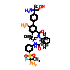 CCC(N)(CO)c1ccc(-c2cc(C(=O)N(C)[C@@H]3[C@H]4CC[C@@H](C4)[C@@H]3C(=O)Nc3cccc(S(=O)(=O)C(C)(F)P)c3)c(OC)cc2P)cc1